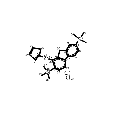 C[Si](C)(C)c1ccc2c(c1)Cc1c-2ccc([Si](C)(C)C)[c]1[Zr+2][C]1=CC=CC1.[Cl-].[Cl-]